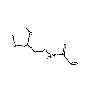 C=CC(=O)NOCC(OC)OC